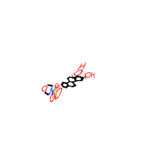 C[C@]12CCC3c4ccc(OS(=O)(=O)N5CCOCC5)cc4CCC3C1C[C@@H](O)[C@@H]2O